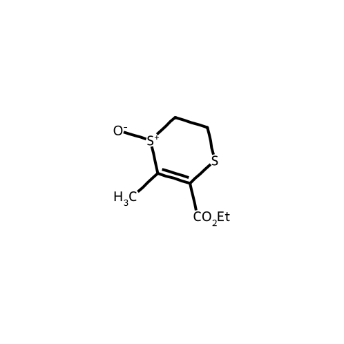 CCOC(=O)C1=C(C)[S+]([O-])CCS1